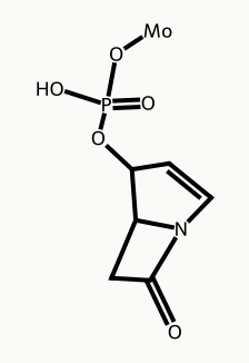 O=C1CC2C(OP(=O)(O)[O][Mo])C=CN12